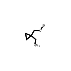 CCOCC1(CNC)CC1